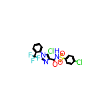 O=C(NS(=O)(=O)c1ccc(Cl)cc1)c1ncn(-c2ccccc2C(F)(F)F)c1Cl